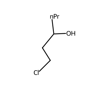 [CH2]CCC(O)CCCl